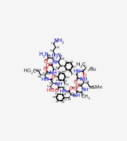 CC[C@H](C)[C@H](C)C(=O)N[C@@H](Cc1ccccc1)C(=O)N[C@@H](CCSC)C(=O)N[C@@H](C)C(=O)N[C@@H](Cc1ccccc1)C(=O)N[C@@H](Cc1ccccc1)C(=O)N[C@@H](CO)C(=O)N[C@@H](CCC(=O)O)C(=O)N[C@@H](CCCCN)C(=O)N[C@@H](CCCCN)C(N)=O